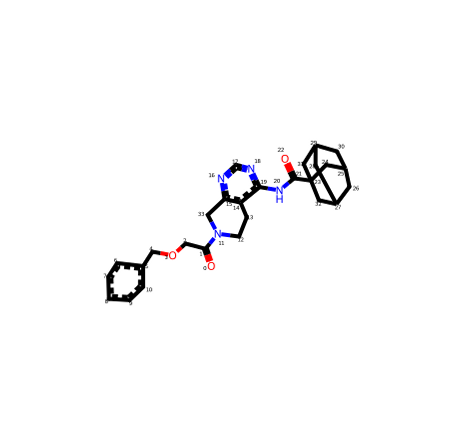 O=C(COCc1ccccc1)N1CCc2c(ncnc2NC(=O)C23CC4CC(CC(C4)C2)C3)C1